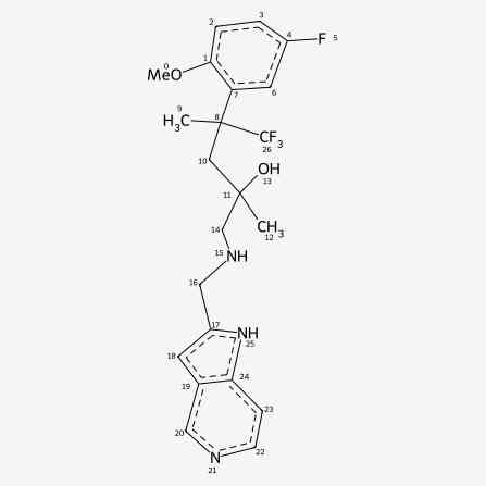 COc1ccc(F)cc1C(C)(CC(C)(O)CNCc1cc2cnccc2[nH]1)C(F)(F)F